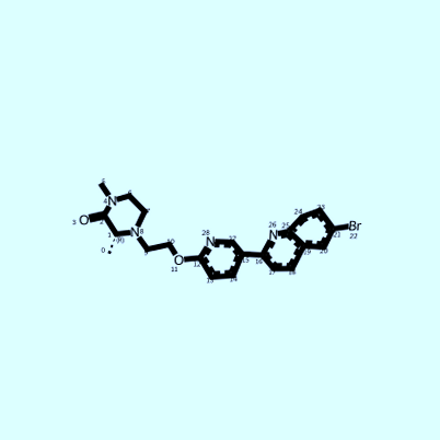 C[C@@H]1C(=O)N(C)CCN1CCOc1ccc(-c2ccc3cc(Br)ccc3n2)cn1